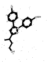 COc1ccc(-n2nc(C(C)CCO)cc2-c2ccc(Cl)cc2)cc1